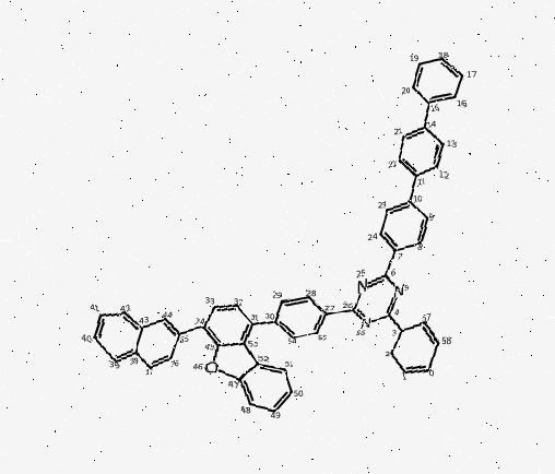 C1=CCC(c2nc(-c3ccc(-c4ccc(-c5ccccc5)cc4)cc3)nc(-c3ccc(-c4ccc(-c5ccc6ccccc6c5)c5oc6ccccc6c45)cc3)n2)C=C1